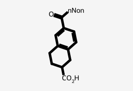 CCCCCCCCCC(=O)c1ccc2c(c1)CCC(C(=O)O)C2